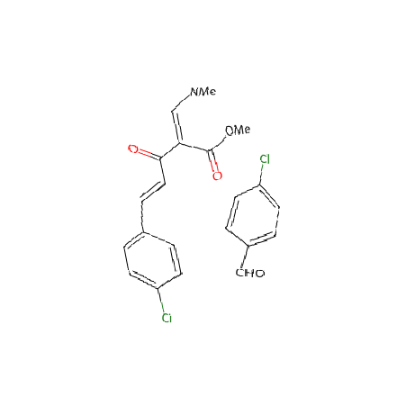 CNC=C(C(=O)C=Cc1ccc(Cl)cc1)C(=O)OC.O=Cc1ccc(Cl)cc1